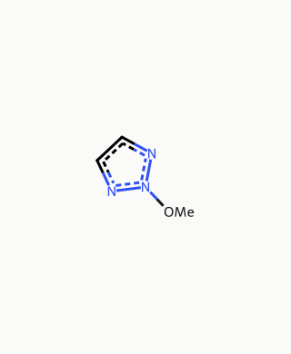 COn1nccn1